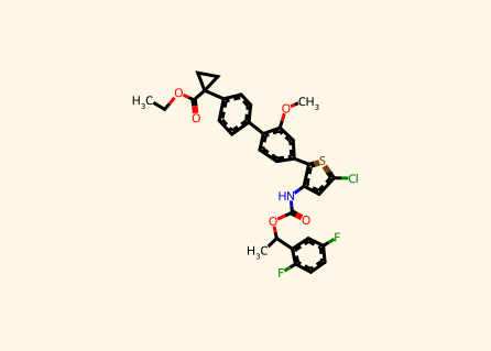 CCOC(=O)C1(c2ccc(-c3ccc(-c4sc(Cl)cc4NC(=O)OC(C)c4cc(F)ccc4F)cc3OC)cc2)CC1